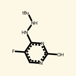 CC(C)(C)NNc1nc(O)ncc1F